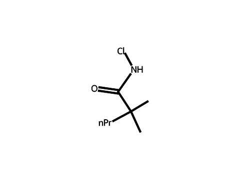 CCCC(C)(C)C(=O)NCl